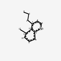 CCCc1ccnc2cccc(C)c12